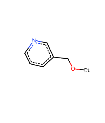 CCOCc1cccnc1